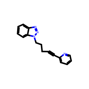 C(#Cc1ccccn1)CCCn1nnc2ccccc21